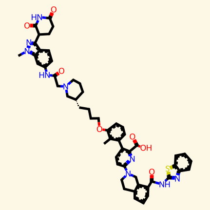 Cc1c(OCCCC[C@H]2CCCN(CC(=O)Nc3ccc4c(C5CCC(=O)NC5=O)nn(C)c4c3)C2)cccc1-c1ccc(N2CCc3cccc(C(=O)Nc4nc5ccccc5s4)c3C2)nc1C(=O)O